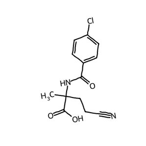 CC(CCC#N)(NC(=O)c1ccc(Cl)cc1)C(=O)O